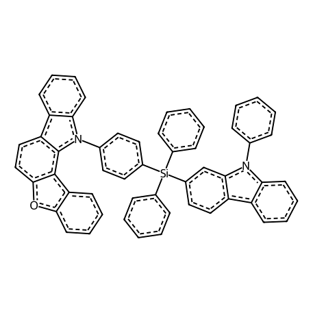 c1ccc(-n2c3ccccc3c3ccc([Si](c4ccccc4)(c4ccccc4)c4ccc(-n5c6ccccc6c6ccc7oc8ccccc8c7c65)cc4)cc32)cc1